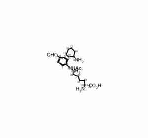 CC(=O)Nc1ccc(C=O)cc1.NC1CCCCC1.NCCCC[C@@H](N)C(=O)O